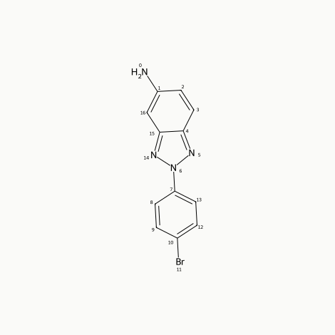 Nc1ccc2nn(-c3ccc(Br)cc3)nc2c1